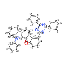 c1ccc(-c2nc(-c3ccccc3)nc(-c3cccc4oc5c(ccc6c7ccccc7n(-c7ccccc7)c65)c34)n2)cc1